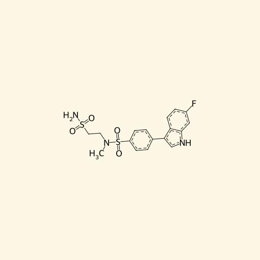 CN(CCS(N)(=O)=O)S(=O)(=O)c1ccc(-c2c[nH]c3cc(F)ccc23)cc1